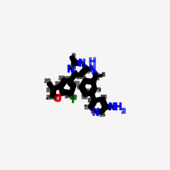 Cc1nc(N[C@@H](C)c2cccc(-c3cncc(N)c3)c2)cc(-c2cc(F)c3occ(C)c3c2)n1